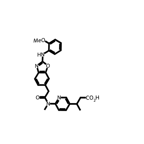 COc1ccccc1Nc1nc2ccc(CC(=O)N(C)c3ccc(C(C)CC(=O)O)cn3)cc2o1